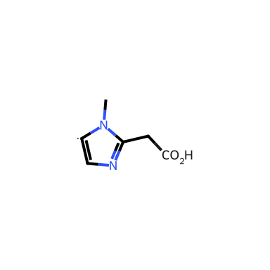 Cn1[c]cnc1CC(=O)O